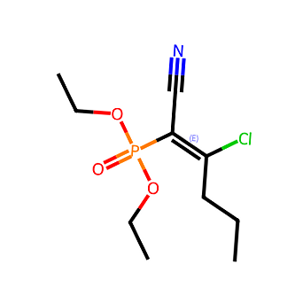 CCC/C(Cl)=C(/C#N)P(=O)(OCC)OCC